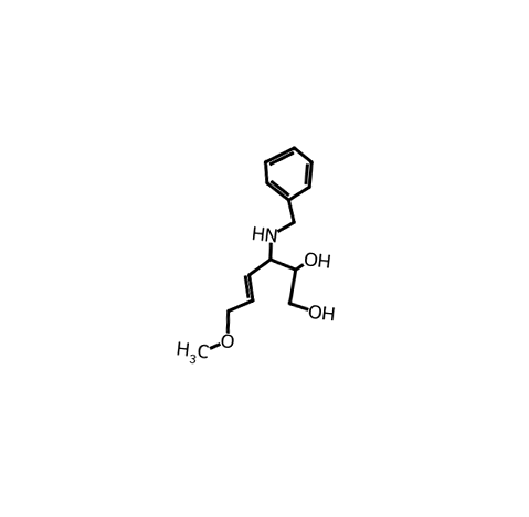 COC/C=C/C(NCc1ccccc1)C(O)CO